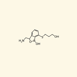 NCC1OB(O)c2c(SCCCO)cccc21